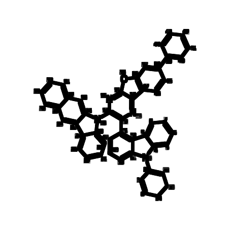 C1=CC(n2c3ccccc3c3c(-c4nc5c(nc4-n4c6ccccc6c6cc7ccccc7cc64)oc4cc(-c6ccccc6)ccc45)cccc32)=CCC1